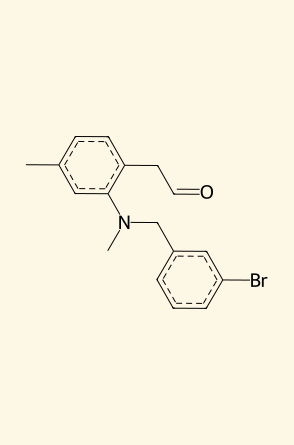 Cc1ccc(CC=O)c(N(C)Cc2cccc(Br)c2)c1